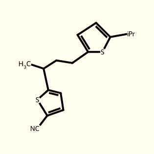 CC(C)c1ccc(CCC(C)c2ccc(C#N)s2)s1